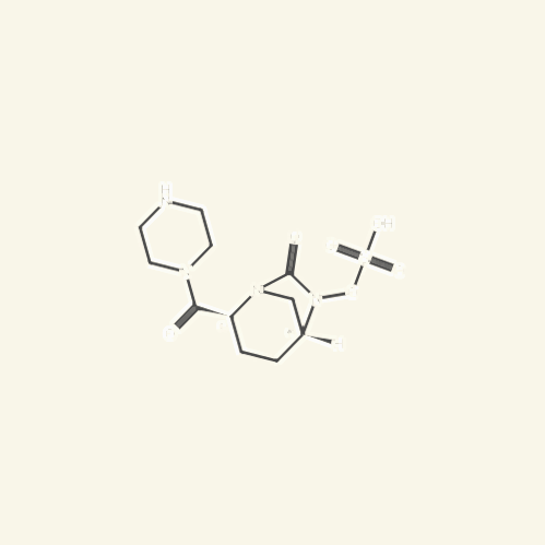 O=C([C@@H]1CC[C@@H]2CN1C(=O)N2OS(=O)(=O)O)N1CCNCC1